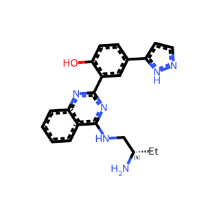 CC[C@H](N)CNc1nc(-c2cc(-c3ccn[nH]3)ccc2O)nc2ccccc12